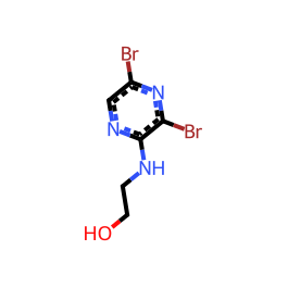 OCCNc1ncc(Br)nc1Br